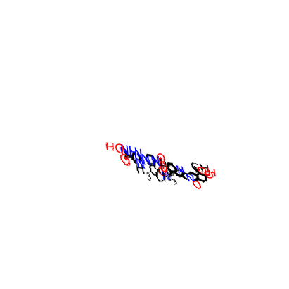 CC[C@@]1(O)C(=O)CCc2c1cc1n(c2=O)Cc2cc3c(/C=N\OC(C)(C)C)c(OC(=O)N4CCN(c5ncc(C(=O)NO)cn5)CC4)ccc3nc2-1